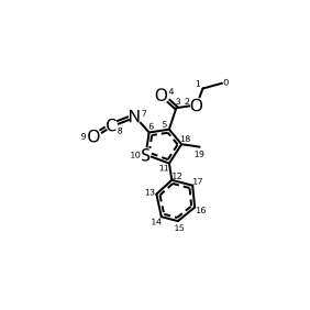 CCOC(=O)c1c(N=C=O)sc(-c2ccccc2)c1C